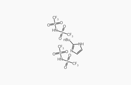 CCCCc1ncc[nH]1.O=S(=O)(NS(=O)(=O)C(F)(F)F)C(F)(F)F.O=S(=O)(NS(=O)(=O)C(F)(F)F)C(F)(F)F